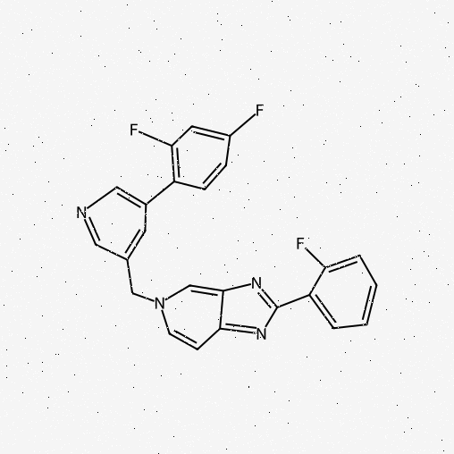 Fc1ccc(-c2cncc(Cn3ccc4nc(-c5ccccc5F)nc-4c3)c2)c(F)c1